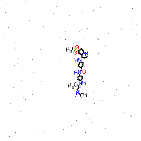 C#C/N=C\C=C(/C)Nc1ccc(NC(=O)c2ccc(Nc3ccnc4ccc(S(C)(=O)=O)cc34)cc2)cc1